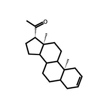 CC(=O)[C@H]1CCC2C3CCC4CC=CC[C@]4(C)C3CC[C@@]21C